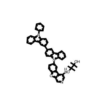 CC(C)(O)C(C)(C)OBc1cncc2oc3ccc(-n4c5ccccc5c5cc(-c6ccc7c(c6)c6ccccc6n7-c6ccccc6)ccc54)cc3c12